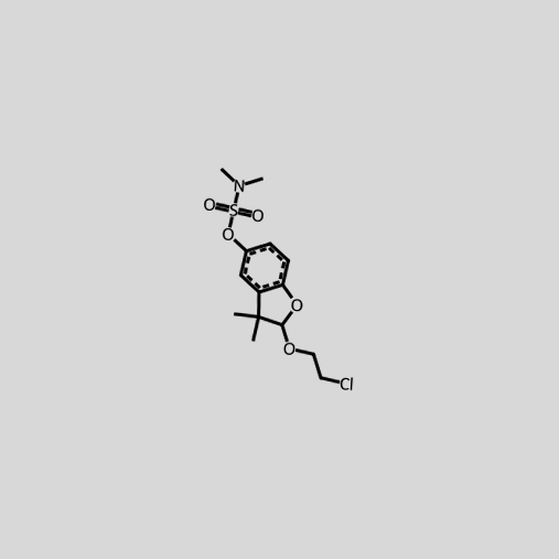 CN(C)S(=O)(=O)Oc1ccc2c(c1)C(C)(C)C(OCCCl)O2